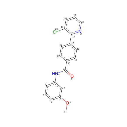 COc1cccc(NC(=O)c2ccc(-c3ncccc3Cl)cc2)c1